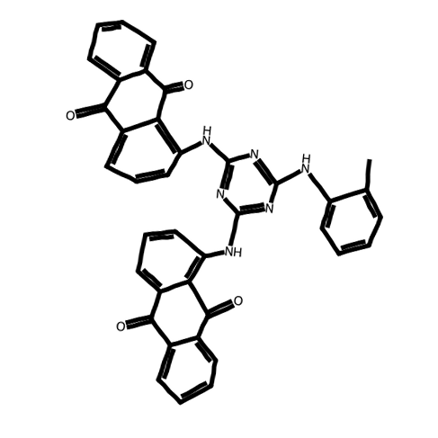 Cc1ccccc1Nc1nc(Nc2cccc3c2C(=O)c2ccccc2C3=O)nc(Nc2cccc3c2C(=O)c2ccccc2C3=O)n1